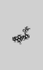 CCN(CC)C(=O)CSc1cncc(Cl)c1COc1cccc2c(-c3ccnn3C)cc(C)nc12